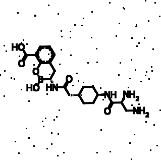 NC[C@H](N)C(=O)N[C@H]1CC[C@H](CC(=O)N[C@H]2Cc3cccc(C(=O)O)c3OB2O)CC1